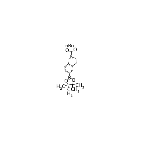 CCCCOC(=O)N1CCc2cc(B3OC(C)(C)C(C)(C)O3)ccc2C1